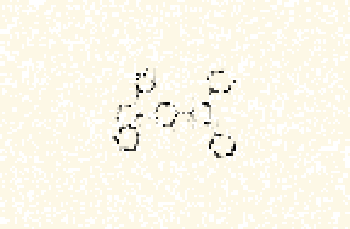 c1ccc(-c2nc(-c3ccccc3)nc(-c3ccc(-c4c(-c5ccncc5)ccc5ccccc45)cc3)n2)cc1